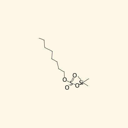 CCCCCCCCOS(=O)(=O)O[Si](C)(C)C